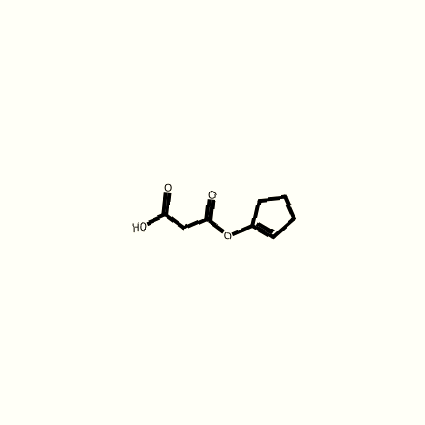 O=C(O)CC(=O)OC1=CCCC1